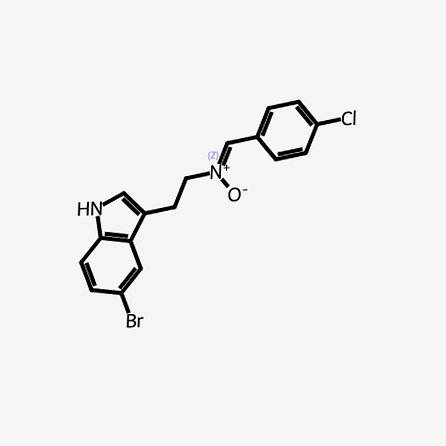 [O-]/[N+](=C\c1ccc(Cl)cc1)CCc1c[nH]c2ccc(Br)cc12